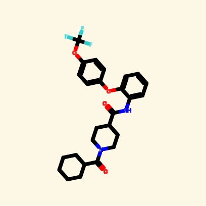 O=C(Nc1ccccc1Oc1ccc(OC(F)(F)F)cc1)C1CCN(C(=O)C2CCCCC2)CC1